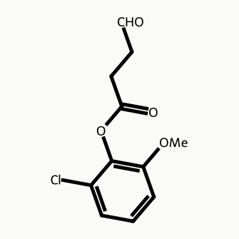 COc1cccc(Cl)c1OC(=O)CCC=O